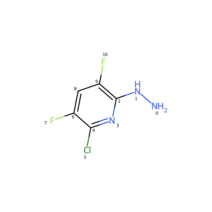 NNc1nc(Cl)c(F)cc1F